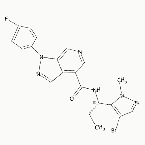 CC[C@H](NC(=O)c1cncc2c1cnn2-c1ccc(F)cc1)c1c(Br)cnn1C